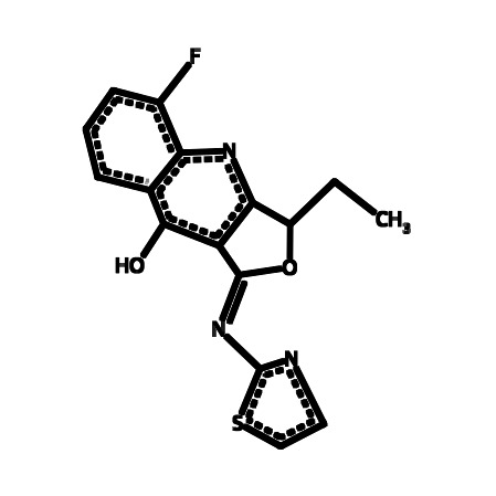 CCC1OC(=Nc2nccs2)c2c1nc1c(F)cccc1c2O